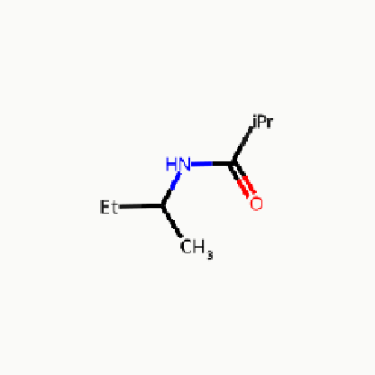 CCC(C)NC(=O)C(C)C